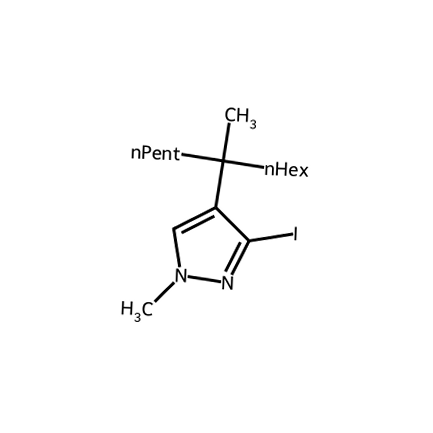 CCCCCCC(C)(CCCCC)c1cn(C)nc1I